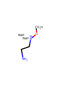 NCCNOC(=O)O.[NaH].[NaH]